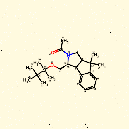 BC(=O)N1CC2C(c3ccccc3C2(C)C)[C@H]1CO[Si](C)(C)C(C)(C)C